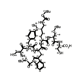 C[C@@H](OC(C)(C)C)[C@H](NC(=O)[C@H](CCCCNC(=O)OC(C)(C)C)NC(=O)[C@@H](Cc1cn(C(=O)OC(C)(C)C)c2ccccc12)NC(=O)[C@H](Cc1ccc(OC(C)(C)C)cc1)NC(=O)[C@@H](N)CS)C(=O)N[C@@H](CS)C(=O)O